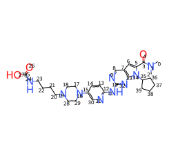 CN(C)C(=O)c1cc2cnc(Nc3ccc(N4CCN(CCCCNC(=O)O)CC4)cn3)nc2n1C1CCCC1